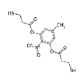 Cc1cc(OC(=O)CCS)c([N+](=O)[O-])c(OC(=O)CCS)c1